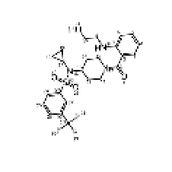 O=C(c1ccccc1NCCO)N1CCC(N(C2CC2)S(=O)(=O)c2cccc(C(F)(F)F)c2)CC1